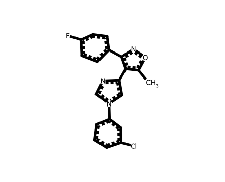 Cc1onc(-c2ccc(F)cc2)c1-c1cn(-c2cccc(Cl)c2)cn1